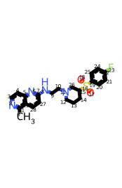 Cc1nccc2nc(NCCN3CCCC(S(=O)(=O)c4ccc(F)cc4)C3)ccc12